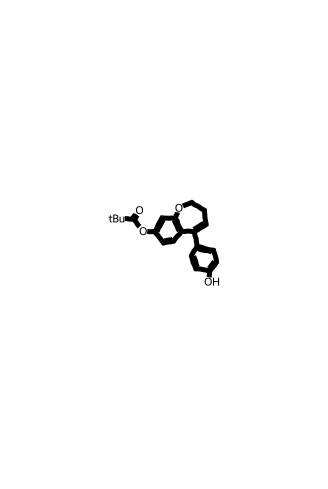 CC(C)(C)C(=O)Oc1ccc2c(c1)OCCC=C2c1ccc(O)cc1